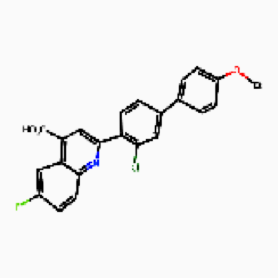 CCOc1ccc(-c2ccc(-c3cc(C(=O)O)c4cc(F)ccc4n3)c(Cl)c2)cc1